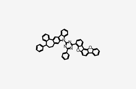 c1ccc(-c2nc(-c3cccc4c3oc3ccc5c6ccccc6oc5c34)nc(-n3c4ccccc4c4cc5c(cc43)CCC(c3ccccc3)c3ccccc3-5)n2)cc1